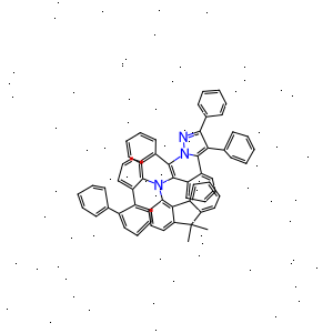 CC1(C)c2ccccc2-c2c(N(c3ccccc3-c3ccccc3-c3ccccc3)c3c(-c4ccccc4)n4nc(-c5ccccc5)c(-c5ccccc5)c4c4ccccc34)cccc21